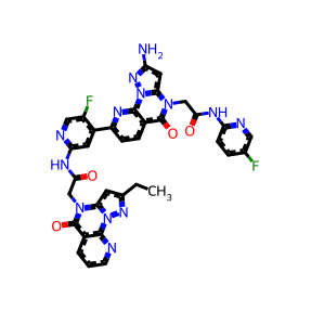 CCc1cc2n(CC(=O)Nc3cc(-c4ccc5c(=O)n(CC(=O)Nc6ccc(F)cn6)c6cc(N)nn6c5n4)c(F)cn3)c(=O)c3cccnc3n2n1